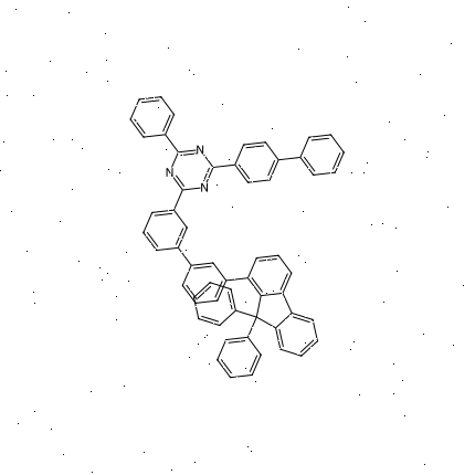 c1ccc(-c2ccc(-c3nc(-c4ccccc4)nc(-c4cccc(-c5cccc(-c6cccc7c6C(c6ccccc6)(c6ccccc6)c6ccccc6-7)c5)c4)n3)cc2)cc1